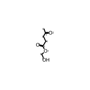 CC(=O)CCC(=O)OCO